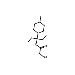 CCC(CC)(OC(=O)CS)C1CCC(C)CC1